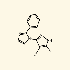 Cc1[nH]nc(-n2ccnc2-c2ccccc2)c1Cl